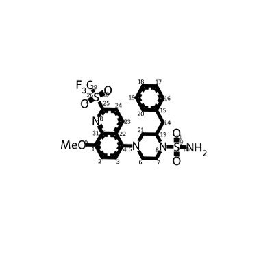 COc1ccc(N2CCN(S(N)(=O)=O)C(Cc3ccccc3)C2)c2ccc(S(=O)(=O)C(F)(F)F)nc12